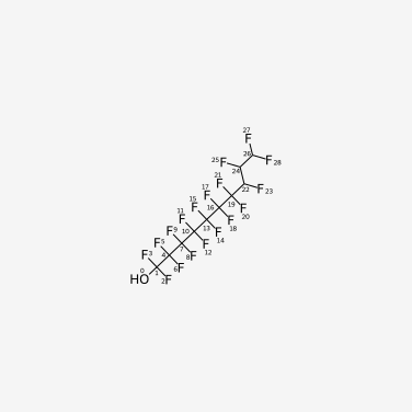 OC(F)(F)C(F)(F)C(F)(F)C(F)(F)C(F)(F)C(F)(F)C(F)(F)C(F)C(F)C(F)F